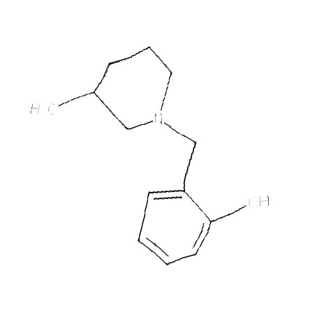 Cc1ccccc1CN1CCCC(C)C1